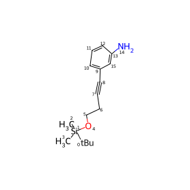 CC(C)(C)[Si](C)(C)OCCC#Cc1cccc(N)c1